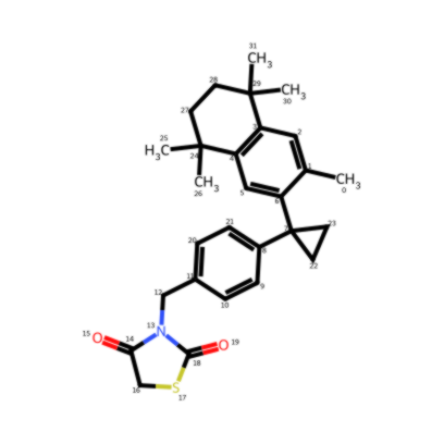 Cc1cc2c(cc1C1(c3ccc(CN4C(=O)CSC4=O)cc3)CC1)C(C)(C)CCC2(C)C